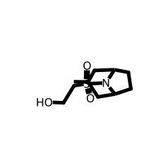 CC1CC2CCC(C1)N2S(=O)(=O)CCO